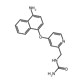 NC(=O)NCc1cc(Oc2ccc(N)c3ccccc23)ccn1